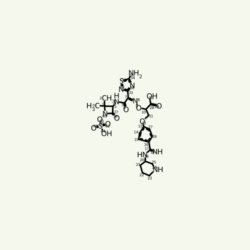 CC1(C)C(NC(=O)C(=NOC(COc2ccc(C(=N)NC3CCCNC3)cc2)C(=O)O)c2nsc(N)n2)C(=O)N1OS(=O)(=O)O